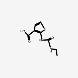 CCNC(=O)Nc1sccc1C(=O)O